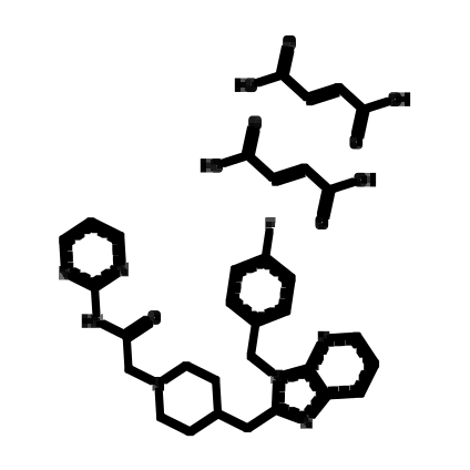 O=C(CN1CCC(Cc2nc3cccnc3n2Cc2ccc(F)cc2)CC1)Nc1ncccn1.O=C(O)C=CC(=O)O.O=C(O)C=CC(=O)O